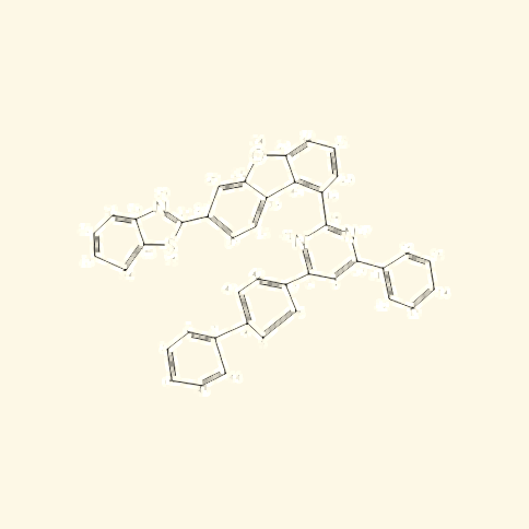 c1ccc(-c2ccc(-c3cc(-c4ccccc4)nc(-c4cccc5oc6cc(-c7nc8ccccc8s7)ccc6c45)n3)cc2)cc1